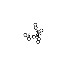 c1ccc2cc(-c3nc(-n4c5ccc(-c6cccc7c6sc6ccccc67)cc5c5c6ccccc6ccc54)nc4ccccc34)ccc2c1